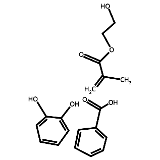 C=C(C)C(=O)OCCO.O=C(O)c1ccccc1.Oc1ccccc1O